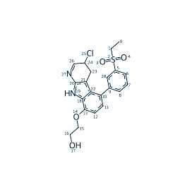 CCS(=O)(=O)c1cccc(-c2ccc(OCCO)c3[nH]c4c(c23)CC(Cl)C=N4)c1